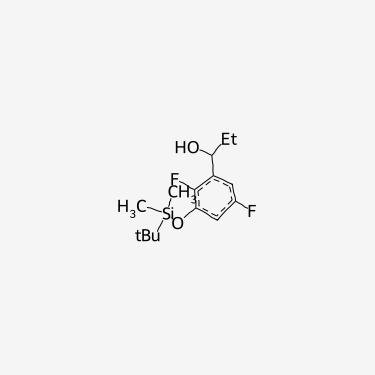 CCC(O)c1cc(F)cc(O[Si](C)(C)C(C)(C)C)c1F